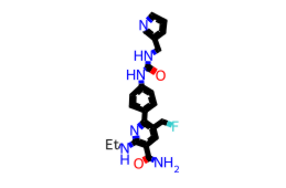 CCNc1nc(-c2ccc(NC(=O)NCc3cccnc3)cc2)c(CF)cc1C(N)=O